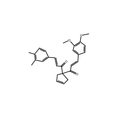 COc1ccc(/C=C/C(=O)C2(C(=O)/C=C/c3ccc(C)c(C)c3)CC=CC2)cc1OC